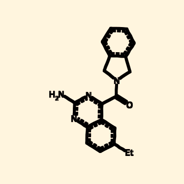 CCc1ccc2nc(N)nc(C(=O)N3Cc4ccccc4C3)c2c1